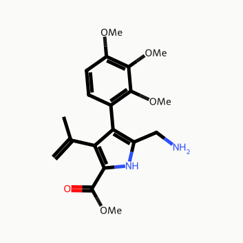 C=C(C)c1c(C(=O)OC)[nH]c(CN)c1-c1ccc(OC)c(OC)c1OC